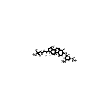 C[C@@H]1C2=CCC3[C@@](C)(CC[C@]4(C)C([C@H](I)CCCC(C)(C)O)CC[C@@]34C)C2CC[C@@H]1O[C@H]1C[C@@H](N=O)C[C@@H](CO)O1